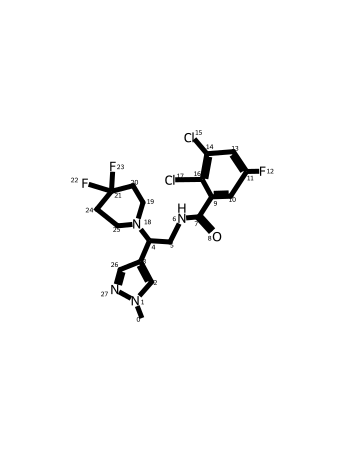 Cn1cc(C(CNC(=O)c2cc(F)cc(Cl)c2Cl)N2CCC(F)(F)CC2)cn1